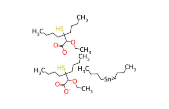 CCCCC(S)(CCCC)C(OCC)C(=O)[O-].CCCCC(S)(CCCC)C(OCC)C(=O)[O-].CCC[CH2][Sn+2][CH2]CCC